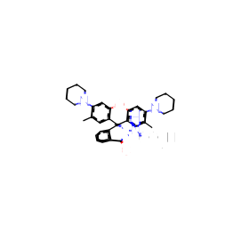 Cc1cc2c(cc1N1CCCCC1)Oc1cc(N3CCCCC3)c(C)cc1C21c2ccccc2C(=O)N1NC(=O)O